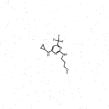 COCCCNc1nc(NC2CC2)cc(C(F)(F)F)n1